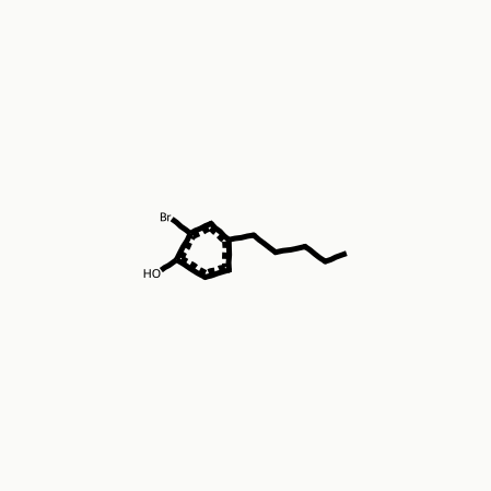 CCCCCc1ccc(O)c(Br)c1